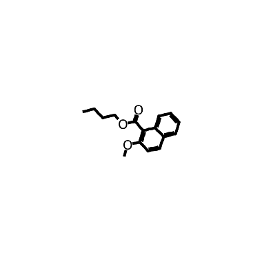 CCCCOC(=O)c1c(OC)ccc2ccccc12